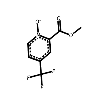 COC(=O)c1cc(C(F)(F)F)cc[n+]1[O-]